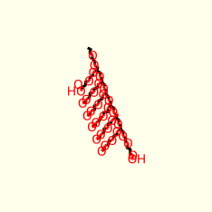 CCCOCCOCC(COCC(COCC(COCC(COCC(COCC(COCCOCCCOO)OCCOCCOC=O)OCCOCCOC=O)OCCOCCOC=O)OCCOCCOC=O)OCCOCCOC=O)OCCOCCC(=O)O